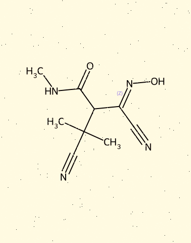 CNC(=O)C(/C(C#N)=N/O)C(C)(C)C#N